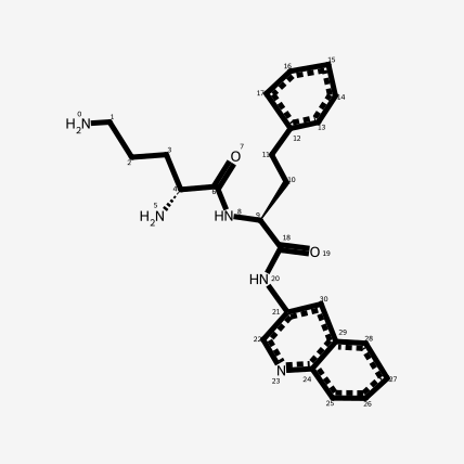 NCCC[C@@H](N)C(=O)N[C@@H](CCc1ccccc1)C(=O)Nc1cnc2ccccc2c1